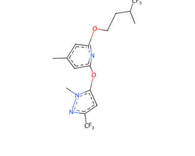 Cc1cc(OCCC(C)C(F)(F)F)nc(Oc2cc(C(F)(F)F)nn2C)c1